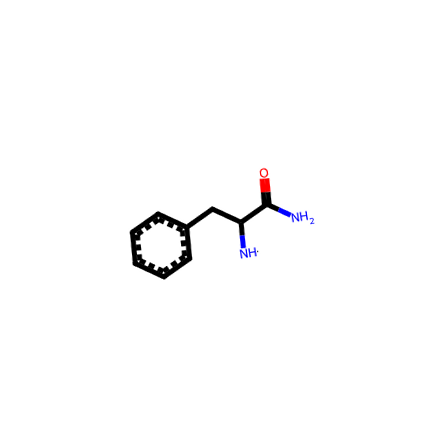 [NH]C(Cc1ccccc1)C(N)=O